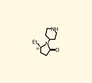 CC[C@@H]1CCC(=O)N1C1CCNCC1